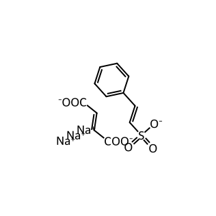 O=C([O-])C=CC(=O)[O-].O=S(=O)([O-])C=Cc1ccccc1.[Na+].[Na+].[Na+]